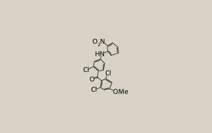 COc1cc(Cl)c(C(=O)c2ccc(Nc3ccccc3[N+](=O)[O-])cc2Cl)c(Cl)c1